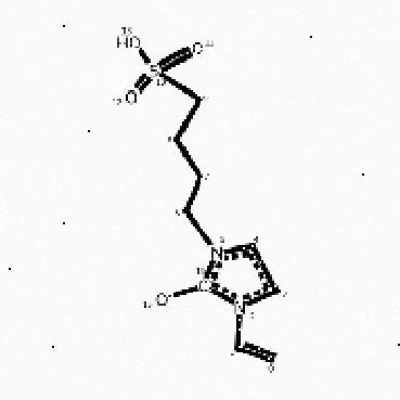 C=Cn1ccn(CCCCS(=O)(=O)O)[c+]1[O-]